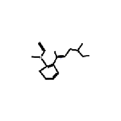 C=CN(C)C1=C(/C(C)=C/CC(C)CC)C=CCC1